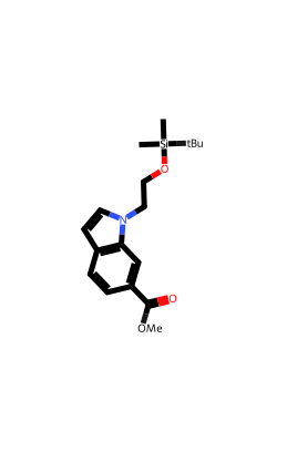 COC(=O)c1ccc2ccn(CCO[Si](C)(C)C(C)(C)C)c2c1